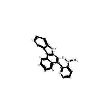 C[S+]([O-])c1cccnc1-c1cc2[nH]c3ccccc3c2c2ccccc12